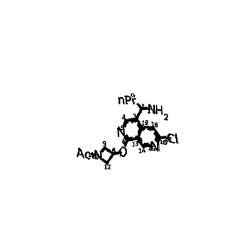 CCCC(N)c1cnc(OC2CN(C(C)=O)C2)c2cnc(Cl)cc12